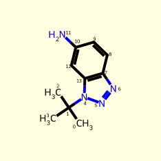 CC(C)(C)n1nnc2ccc(N)cc21